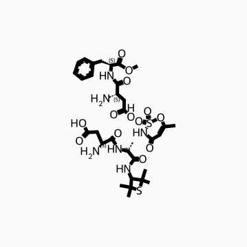 CC1=CC(=O)NS(=O)(=O)O1.COC(=O)[C@H](Cc1ccccc1)NC(=O)[C@@H](N)CC(=O)O.C[C@@H](NC(=O)[C@@H](N)CC(=O)O)C(=O)NC1C(C)(C)SC1(C)C